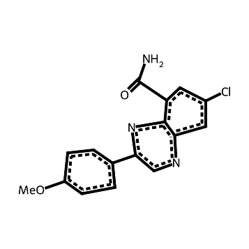 COc1ccc(-c2cnc3cc(Cl)cc(C(N)=O)c3n2)cc1